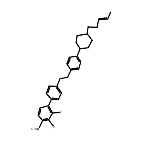 C/C=C/CCC1CCC(c2ccc(CCc3ccc(-c4ccc(CCCCC)c(F)c4F)cc3)cc2)CC1